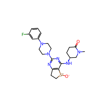 CN1C[C@@H](Nc2nc(N3CCN(c4cccc(F)c4)CC3)nc3c2[S+]([O-])CC3)CCC1=O